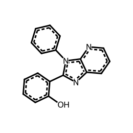 Oc1ccccc1-c1nc2cccnc2n1-c1ccccc1